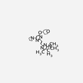 Cc1nc(C=Cc2nc(OC3CCOCC3)cc(N3CCCC3)n2)nc(N(C)C)c1C